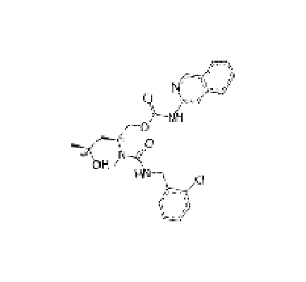 C[C@H](O)C[C@@H](COC(=O)Nc1cc2ccccc2cn1)N(C)C(=O)NCc1ccccc1Cl